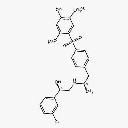 CCOC(=O)c1cc(S(=O)(=O)c2ccc(C[C@@H](C)NC[C@H](O)c3cccc(Cl)c3)cc2)c(OC)cc1O